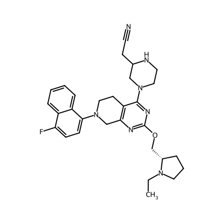 CCN1CCC[C@H]1COc1nc2c(c(N3CCNC(CC#N)C3)n1)CCN(c1ccc(F)c3ccccc13)C2